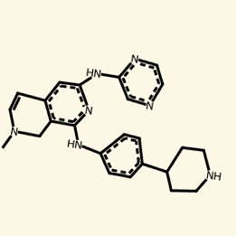 CN1C=Cc2cc(Nc3cnccn3)nc(Nc3ccc(C4CCNCC4)cc3)c2C1